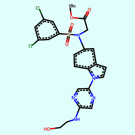 CC(C)(C)OC(=O)CN(c1ccc2c(ccn2-c2cnc(NCCO)cn2)c1)S(=O)(=O)c1cc(Cl)cc(Cl)c1